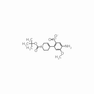 COc1cc(C2=CCN(C(=O)OC(C)(C)C)CC2)c([N+](=O)[O-])cc1N